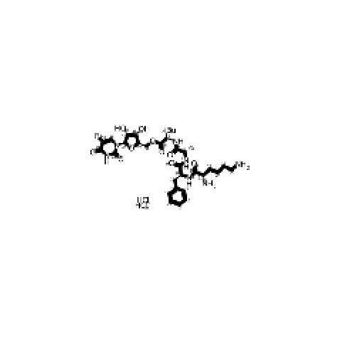 CC[C@H](C)[C@H](NC(=O)[C@H](C)NC(=O)[C@H](Cc1ccccc1)NC(=O)[C@@H](N)CCCCN)C(=O)OC[C@H]1O[C@@H](n2cc(F)c(=O)[nH]c2=O)[C@H](O)[C@@H]1O.Cl.Cl